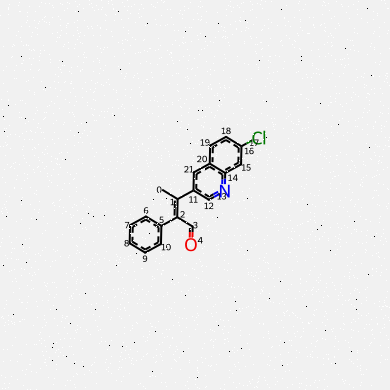 CC(=C(C=O)c1ccccc1)c1cnc2cc(Cl)ccc2c1